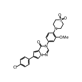 COc1cc(-n2cnn3cc(-c4ccc(Cl)cc4)cc3c2=O)ccc1N1CCS(=O)(=O)CC1